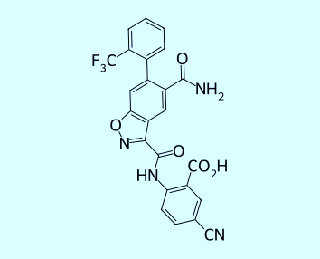 N#Cc1ccc(NC(=O)c2noc3cc(-c4ccccc4C(F)(F)F)c(C(N)=O)cc23)c(C(=O)O)c1